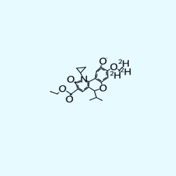 [2H]C([2H])([2H])Oc1cc2c(cc1OC)-c1c(cc(C(=O)OCC)c(=O)n1C1CC1)C(C(C)C)O2